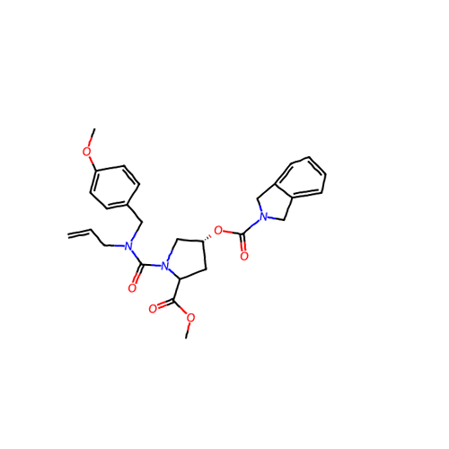 C=CCN(Cc1ccc(OC)cc1)C(=O)N1C[C@H](OC(=O)N2Cc3ccccc3C2)CC1C(=O)OC